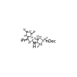 CCCCCCCCCCC(C)C1CC(C)C(NCCC(C(C)C)C2CC(C)CC(C)C2)C(C)(C)C1